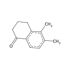 Cc1ccc2c(c1C)CCCC2=O